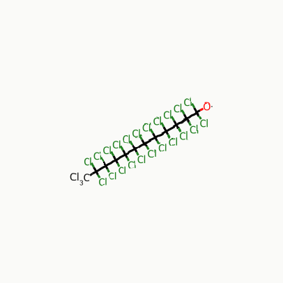 [O]C(Cl)(Cl)C(Cl)(Cl)C(Cl)(Cl)C(Cl)(Cl)C(Cl)(Cl)C(Cl)(Cl)C(Cl)(Cl)C(Cl)(Cl)C(Cl)(Cl)C(Cl)(Cl)C(Cl)(Cl)C(Cl)(Cl)Cl